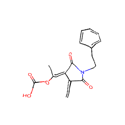 C=C1C(=O)N(Cc2ccccc2)C(=O)C1=C(C)OC(=O)O